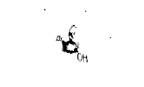 [C-]#[N+]c1nc(O)ccc1Br